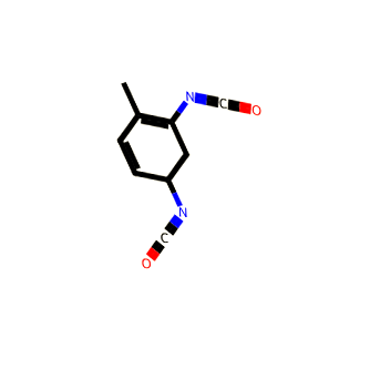 CC1=C(N=C=O)CC(N=C=O)C=C1